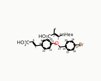 CCCCCCC=C(C)C(=O)O.O=C(O)C=Cc1ccc(OCc2ccc(Br)cc2)cc1